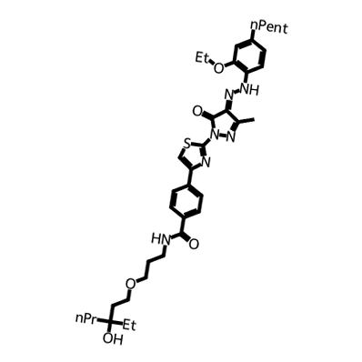 CCCCCc1ccc(N/N=C2/C(=O)N(c3nc(-c4ccc(C(=O)NCCCOCCC(O)(CC)CCC)cc4)cs3)N=C2C)c(OCC)c1